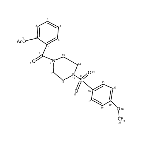 CC(=O)Oc1ccccc1C(=O)N1CCN(S(=O)(=O)c2ccc(OC(F)(F)F)cc2)CC1